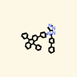 c1ccc(-c2ccc(-c3nc4ncncc4n3-c3ccc(-c4ccc5c(-c6ccccc6)c6ccccc6c(-c6ccccc6)c5c4)cc3)cc2)cc1